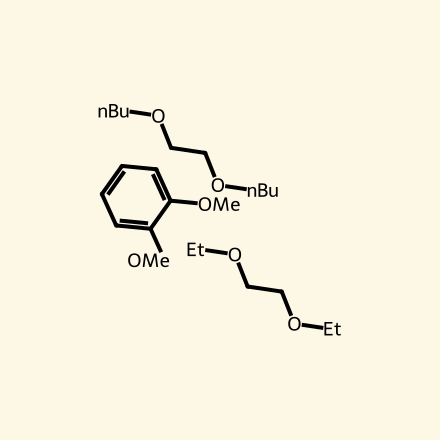 CCCCOCCOCCCC.CCOCCOCC.COc1ccccc1OC